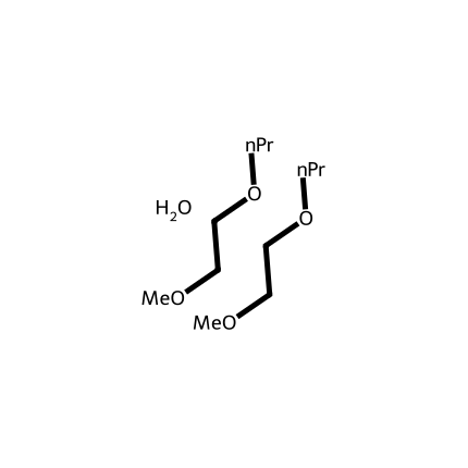 CCCOCCOC.CCCOCCOC.O